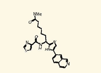 CNC(=O)CCCCCC(NC(=O)c1cscn1)c1ncc(-c2ccc3ccncc3c2)[nH]1